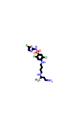 CC(CCN)NCCCCNc1cc(F)c(S(=O)(=O)Nc2ncc(F)s2)cc1Cl